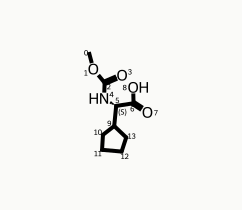 COC(=O)N[C@H](C(=O)O)C1CCCC1